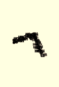 N.N.N.N.NC(N)=O.O=C(O)O.O=P(O)(O)O.O=P(O)(O)O.O=P(O)(O)O.O=P(O)(O)O.O=S(=O)([O-])[O-].O=[N+]([O-])O.O=[N+]([O-])[O-].O=[N+]([O-])[O-].O=[N+]([O-])[O-].O=[N+]([O-])[O-].[Ca+2].[Ca+2].[K+].[Na+]